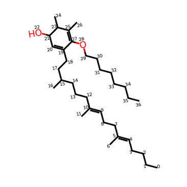 CCCC/C=C(\C)CC/C=C(\C)CCCC(C)CCC1=CC(O)C(C)C(C)=C1OCCCCCCCC